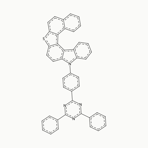 c1ccc(-c2nc(-c3ccccc3)nc(-c3ccc(-n4c5ccccc5c5c6c(ccc54)sc4ccc5ccccc5c46)cc3)n2)cc1